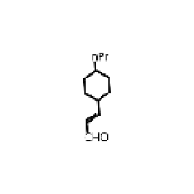 CCCC1CCC(C=CC=O)CC1